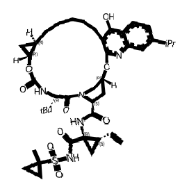 C=C[C@@H]1C[C@]1(NC(=O)[C@@H]1C[C@@H]2CN1C(=O)[C@H](C(C)(C)C)NC(=O)O[C@@H]1C[C@H]1CCCCCc1c(nc3cc(C(C)C)ccc3c1O)O2)C(=O)NS(=O)(=O)C1(C)CC1